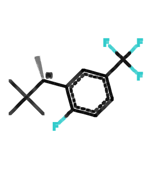 C[C@H](c1cc(C(F)(F)F)ccc1F)C(C)(C)C